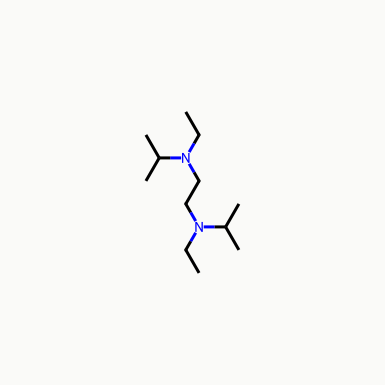 CCN(CCN(CC)C(C)C)C(C)C